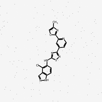 Cc1coc(-c2cc(-c3nsc(Nc4ccc5[nH]ncc5c4Cl)n3)ccn2)n1